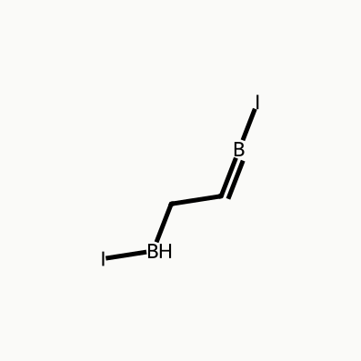 IB=CCBI